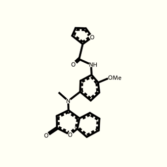 COc1ccc(N(C)c2cc(=O)oc3ccccc23)cc1NC(=O)c1ccco1